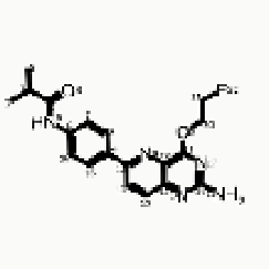 CC(C)C(=O)Nc1ccc(-c2ccc3nc(N)nc(OCCF)c3n2)cc1